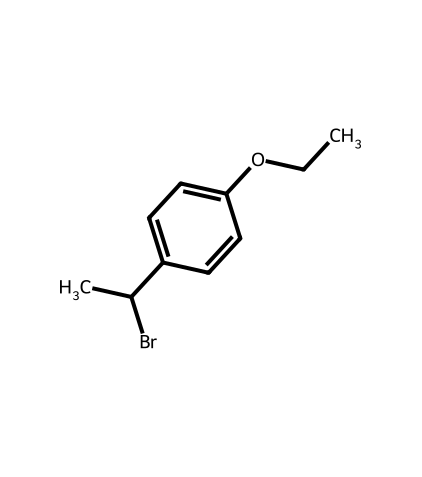 CCOc1ccc(C(C)Br)cc1